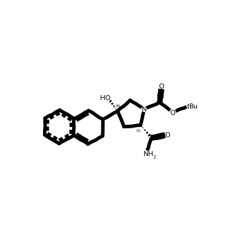 CC(C)(C)OC(=O)N1C[C@](O)(C2C=c3ccccc3=CC2)C[C@H]1C(N)=O